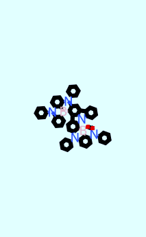 c1ccc(N2c3ccccc3B3c4c2cccc4N(c2ccccc2)c2cc4c5ccccc5n5c6c7c(ccc6c(c23)c45)N(c2ccccc2)c2cccc3c2B7c2ccccc2N3c2ccccc2)cc1